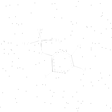 C[Si](C)(C)Oc1cc(Cl)c(Cl)cc1Cl